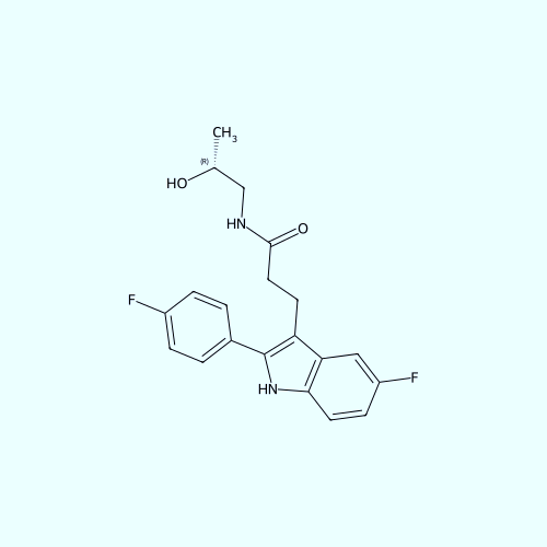 C[C@@H](O)CNC(=O)CCc1c(-c2ccc(F)cc2)[nH]c2ccc(F)cc12